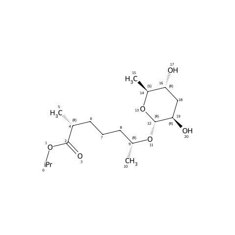 CC(C)OC(=O)[C@H](C)CCC[C@@H](C)O[C@@H]1O[C@@H](C)[C@H](O)C[C@H]1O